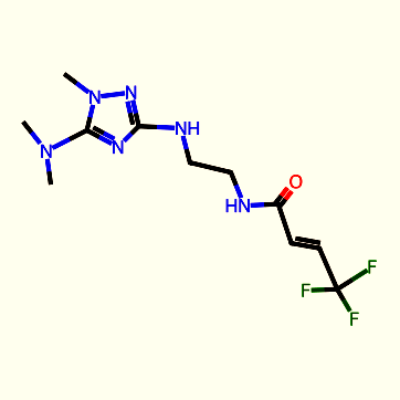 CN(C)c1nc(NCCNC(=O)/C=C/C(F)(F)F)nn1C